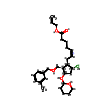 C=CCOC(=O)CCC/C=C\C[C@@H]1[C@@H](COCc2cccc(C(F)(F)F)c2)[C@H](OC2CCCCO2)C[C@H]1Cl